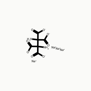 NC(C(=O)[O-])(C(=O)[O-])C(N)(C(=O)[O-])C(=O)[O-].[Na+].[Na+].[Na+].[Na+]